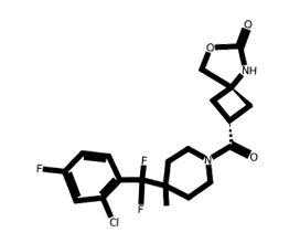 CC1(C(F)(F)c2ccc(F)cc2Cl)CCN(C(=O)[C@H]2C[C@]3(COC(=O)N3)C2)CC1